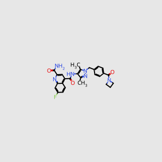 Cc1nn(Cc2ccc(C(=O)N3CCC3)cc2)c(C)c1NC(=O)c1cc(C(N)=O)nc2cc(F)ccc12